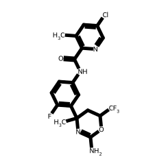 Cc1cc(Cl)cnc1C(=O)Nc1ccc(F)c(C2(C)CC(C(F)(F)F)OC(N)=N2)c1